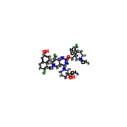 CCc1c(F)ccc2cc(O)cc(-c3ncc4c(N5CCCC(C)(O)C5)nc(OC[C@]5(C)CN(C)CC[C@@H]5CF)nc4c3F)c12